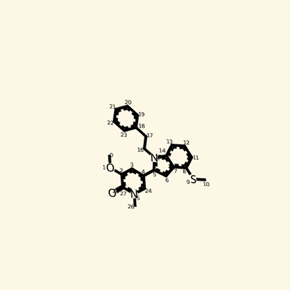 COc1cc(-c2cc3c(SC)cccc3n2CCc2ccccc2)cn(C)c1=O